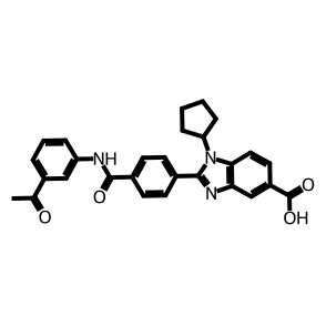 CC(=O)c1cccc(NC(=O)c2ccc(-c3nc4cc(C(=O)O)ccc4n3C3CCCC3)cc2)c1